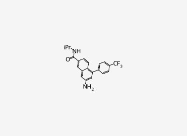 CC(C)NC(=O)c1ccc2c(-c3ccc(C(F)(F)F)cc3)cc(N)cc2c1